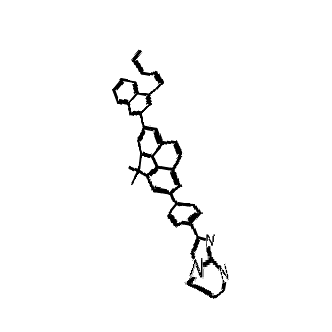 C/C=C\C=C/c1cc(-c2cc3c4c(ccc5cc(-c6ccc(-c7cn8cccnc8n7)cc6)cc(c54)C3(C)C)c2)cc2ccccc12